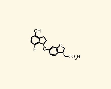 O=C(O)C[C@@H]1COc2cc(O[C@@H]3CCc4c(O)ccc(F)c43)ccc21